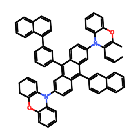 C/C=C\C1=C(C)Oc2ccccc2N1c1ccc2c(-c3cccc(-c4cccc5ccccc45)c3)c3cc(N4C5=C(CCC=C5)Oc5ccccc54)ccc3c(-c3ccc4ccccc4c3)c2c1